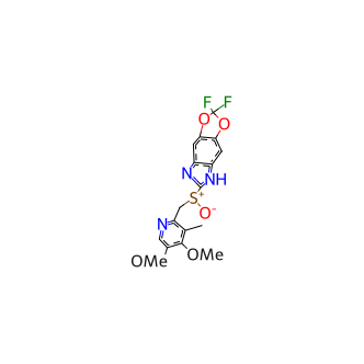 COc1cnc(C[S+]([O-])c2nc3cc4c(cc3[nH]2)OC(F)(F)O4)c(C)c1OC